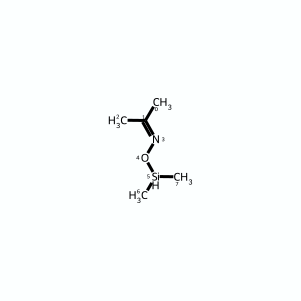 CC(C)=NO[SiH](C)C